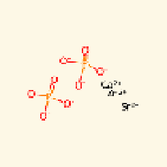 O=P([O-])([O-])[O-].O=P([O-])([O-])[O-].[Ca+2].[Sr+2].[Zn+2]